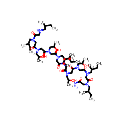 CCC(C)CNCC(=O)N(CC(=O)N(CC(=O)N(CC(=O)N(CC(=O)N(CC(=O)N(CC(=O)N(CC(=O)N(CC(=O)N(CC(N)=O)CC(C)CC)CC(C)CC)CC(C)O)CC(C)O)CC(C)CC)CC(C)CC)CC(C)O)CC(C)O)CC(C)CC